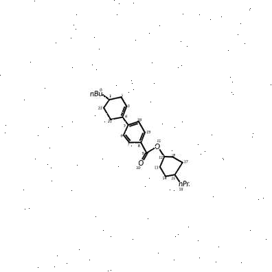 CCCCC1CC=C(c2ccc(C(=O)OC3CCC(CCC)CC3)cc2)CC1